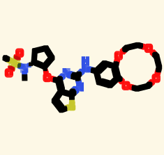 CN([C@@H]1CCC[C@H]1Oc1nc(Nc2ccc3c(c2)OCCOCCOCCO3)nc2sccc12)S(C)(=O)=O